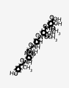 COc1c(NC(=O)c2ccc(NC(=O)c3ccc(NC(=O)[C@H](CC#N)NS(=O)(=O)c4ccc(NC(=O)/C(C)=C/c5ccc(O)cc5)cc4)cc3)c(OC)c2O)ccc(C(=O)O)c1O